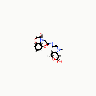 C[C@@H]1C[C@H](N(C)CCNC(=O)CN2C(=O)COc3ccccc32)C[C@H](O)O1